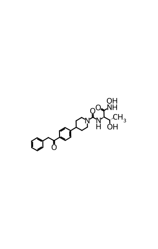 C[C@H](O)[C@@H](NC(=O)N1CCC(c2ccc(C(=O)Cc3ccccc3)cc2)CC1)C(=O)NO